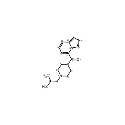 C[C](C)CN1CCC(C(=O)c2cccc3cncn23)CC1